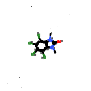 Cn1c(=O)n(C)c2c(Cl)c(Cl)c(Cl)c(Cl)c21